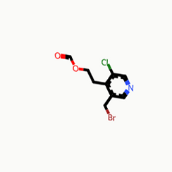 O=COCCc1c(Cl)cncc1CBr